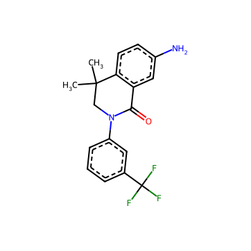 CC1(C)CN(c2cccc(C(F)(F)F)c2)C(=O)c2cc(N)ccc21